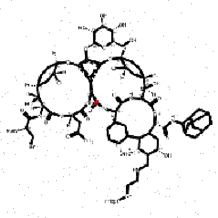 CCCCCCCNCCNCC1[C@H](O)C2C3C[C@H](CC[C@H]3O)[C@H]3NC(=O)[C@@H]4NC(=O)[C@H](CC(N)=O)NC(=O)[C@H](NC(=O)[C@@H](CC(C)C)NC)[C@H](O)[C@H]5CC[C@@H](Oc6cc4cc(c6O[C@@H]4O[C@H](CO)[C@@H](O)[C@H](O)[C@H]4O)O[C@@H]4CC[C@@H](C[C@@H]4Cl)[C@@H](O)[C@H](NC3=O)C(=O)N[C@H](C(=O)NC3C4CC6CC(C4)CC3C6)C2C[C@@H]1O)[C@H](Cl)C5